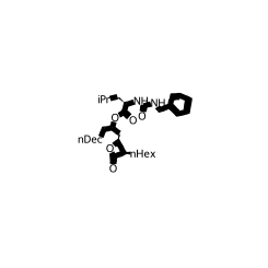 CCCCCCCCCCCC(C[C@H]1OC(=O)[C@@H]1CCCCCC)OC(=O)[C@H](CC(C)C)NC(=O)NCc1ccccc1